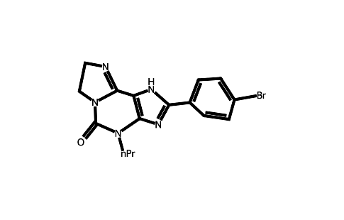 CCCN1C(=O)N2CCN=C2c2[nH]c(-c3ccc(Br)cc3)nc21